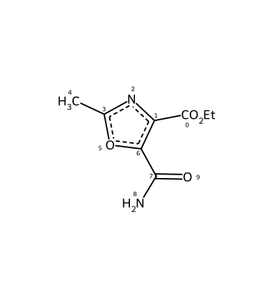 CCOC(=O)c1nc(C)oc1C(N)=O